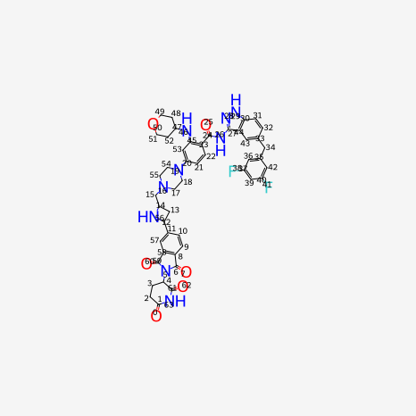 O=C1CCC(N2C(=O)c3ccc(C4CC(CN5CCN(c6ccc(C(=O)Nc7n[nH]c8ccc(Cc9cc(F)cc(F)c9)cc78)c(NC7CCOCC7)c6)CC5)N4)cc3C2=O)C(=O)N1